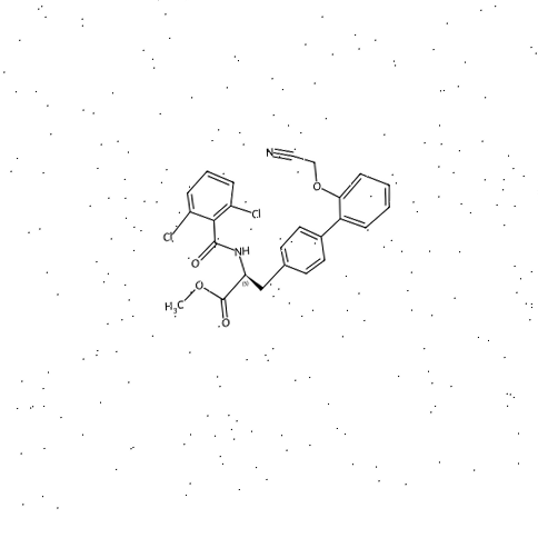 COC(=O)[C@H](Cc1ccc(-c2ccccc2OCC#N)cc1)NC(=O)c1c(Cl)cccc1Cl